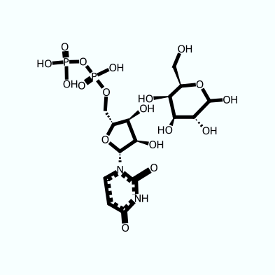 O=c1ccn([C@@H]2O[C@H](COP(=O)(O)OP(=O)(O)O)[C@@H](O)[C@H]2O)c(=O)[nH]1.OC[C@H]1OC(O)[C@H](O)[C@@H](O)[C@H]1O